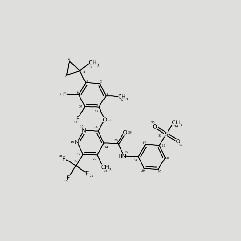 Cc1cc(C2(C)CC2)c(F)c(F)c1Oc1nnc(C(F)(F)F)c(C)c1C(=O)Nc1cccc(S(C)(=O)=O)c1